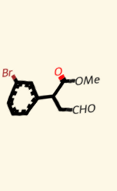 COC(=O)C(CC=O)c1cccc(Br)c1